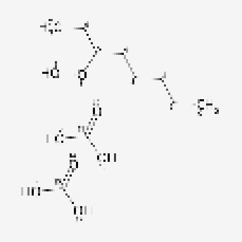 CCCCCC(CC)OO.O=C(O)O.O=C(O)O